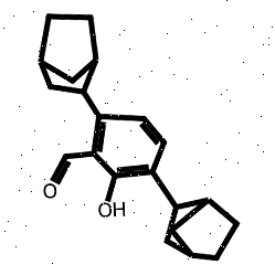 O=Cc1c(C2CC3CCC2C3)ccc(C2CC3CCC2C3)c1O